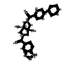 O=C(c1ccc2[nH]nnc2c1)N1C[C@H]2CN(C(=O)c3ccc(-c4ccccc4)cn3)C[C@@H]2C1